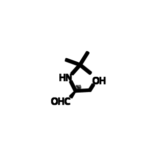 CC(C)(C)N[C@H](C=O)CO